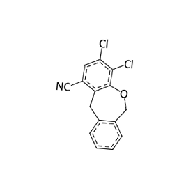 N#Cc1cc(Cl)c(Cl)c2c1Cc1ccccc1CO2